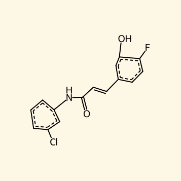 O=C(/C=C/c1ccc(F)c(O)c1)Nc1cccc(Cl)c1